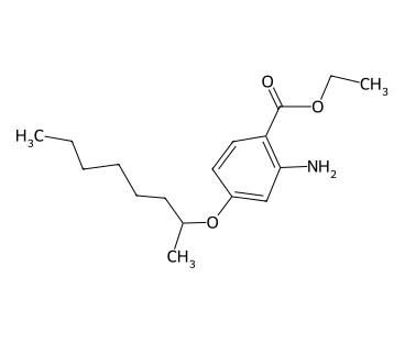 CCCCCCC(C)Oc1ccc(C(=O)OCC)c(N)c1